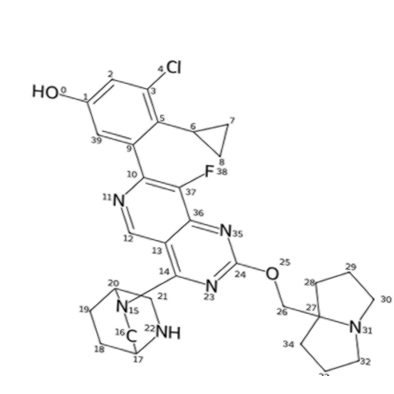 Oc1cc(Cl)c(C2CC2)c(-c2ncc3c(N4CC5CCC4CN5)nc(OCC45CCCN4CCC5)nc3c2F)c1